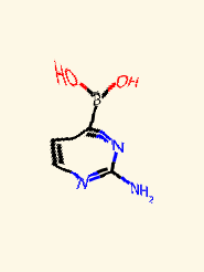 Nc1nccc(B(O)O)n1